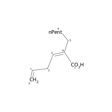 C=CCC=C(CCCCCC)C(=O)O